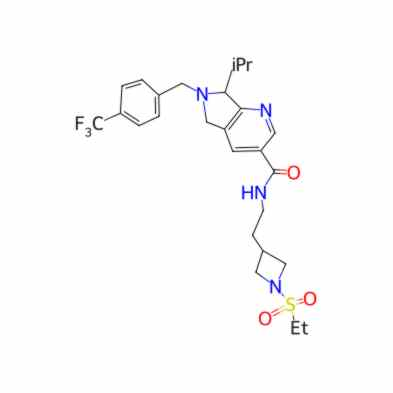 CCS(=O)(=O)N1CC(CCNC(=O)c2cnc3c(c2)CN(Cc2ccc(C(F)(F)F)cc2)C3C(C)C)C1